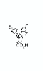 CC(Oc1nc(-c2ccc(F)cc2F)n(-c2ccc(Cl)cc2)n1)C(=O)O